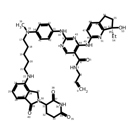 C=CCNC(=O)c1cnc(Nc2ccc(N(C)CCCCCNc3cccc4c3CN(C3CCC(=O)NC3=O)C4=O)cc2)nc1Nc1ccc2c(n1)[C@@](O)(CC)CC2